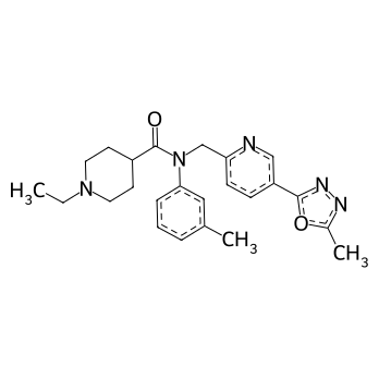 CCN1CCC(C(=O)N(Cc2ccc(-c3nnc(C)o3)cn2)c2cccc(C)c2)CC1